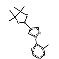 Cc1cncnc1-n1cc(B2OC(C)(C)C(C)(C)O2)cn1